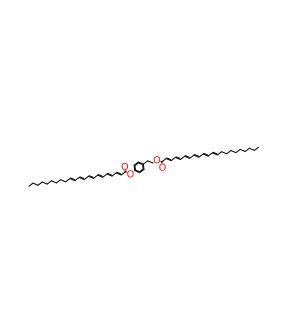 CCCCCCCCCC=CC=CC=CC=CC=CC=CC(=O)OCCc1ccc(OC(=O)C=CC=CC=CC=CC=CC=CCCCCCCCCC)cc1